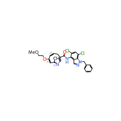 COCCOC1=C/C(C)=N/C=C(/C(=O)Nc2c(Cl)cc(Cl)c3c2cnn3Cc2ccccc2)C/C=C\1